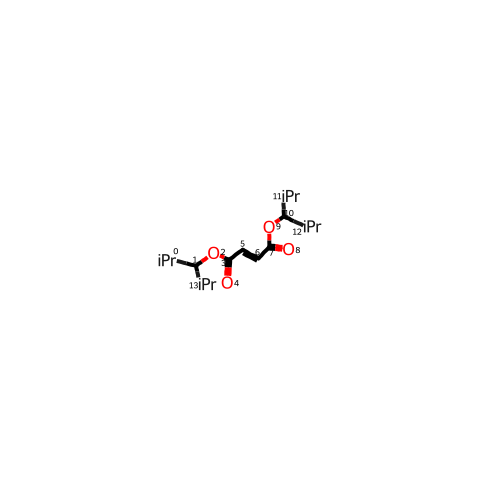 CC(C)C(OC(=O)C=CC(=O)OC(C(C)C)C(C)C)C(C)C